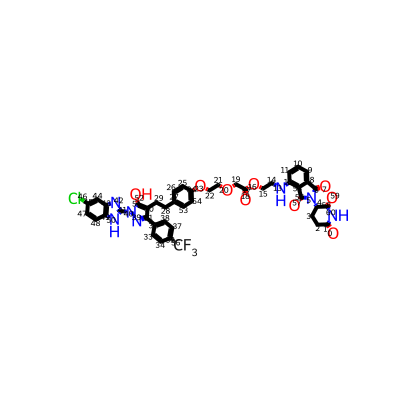 O=C1CCC(N2C(=O)c3cccc(NCCOC(=O)COCCOc4ccc(CCc5c(-c6ccc(C(F)(F)F)cc6)nn(-c6nc7cc(Cl)ccc7[nH]6)c5O)cc4)c3C2=O)C(=O)N1